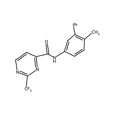 Cc1ccc(NC(=O)c2ccnc(C(F)(F)F)n2)cc1C(C)C